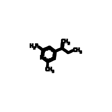 C=C(CC)c1cc(C)nc(P)c1